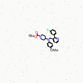 COc1ccc(N(Cc2cccnc2-c2cccc(F)c2)C2CCN(C(=O)OC(C)(C)C)CC2)cc1